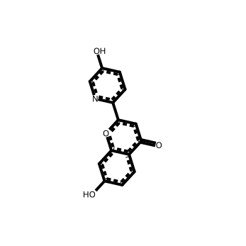 O=c1cc(-c2ccc(O)cn2)oc2cc(O)ccc12